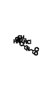 CS(=O)(=O)Nc1ccc(C2CCN(CCC3CCOc4ccccc43)CC2)cc1.Cl